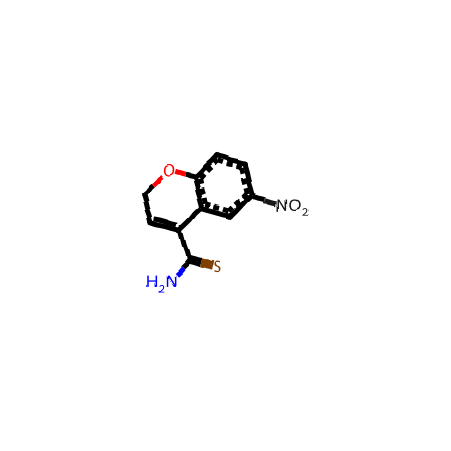 NC(=S)C1=CCOc2ccc([N+](=O)[O-])cc21